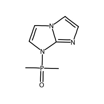 CP(C)(=O)n1ccn2ccnc12